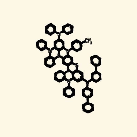 FC(F)(F)c1ccc(N2c3cc4c(cc3B3c5ccccc5N(c5ccccc5)c5cc(N(c6ccccc6)c6ccccc6)cc2c53)B2c3ccccc3N(c3ccccc3)c3cc(N(c5ccc(-c6ccccc6)cc5)c5cccc(-c6ccccc6)c5)cc(c32)S4)cc1